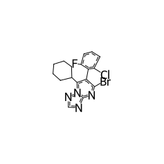 Fc1cccc(Cl)c1-c1c(Br)nc2ncnn2c1C1CCCCC1